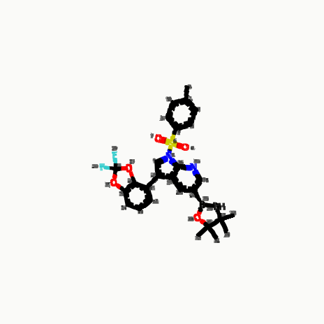 Cc1ccc(S(=O)(=O)n2cc(-c3cccc4c3OC(F)(F)O4)c3cc(B4BC(C)(C)C(C)(C)O4)cnc32)cc1